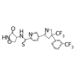 O=C1NOCC1NC(=S)c1ccc(C2=NCC(c3cccc(C(F)(F)F)c3)(C(F)(F)F)C2)cn1